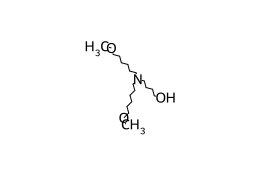 COCCCCCCN(CCCCO)CCCCCCOC